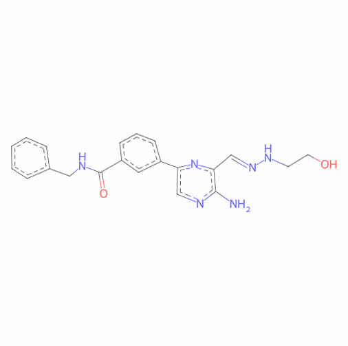 Nc1ncc(-c2cccc(C(=O)NCc3ccccc3)c2)nc1C=NNCCO